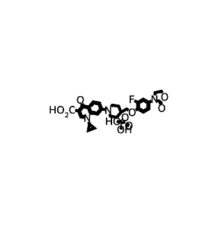 O=C(O)c1cn(C2CC2)c2cc(N3CCC(COc4ccc(N5CCOC5=O)cc4F)(OP(=O)(O)O)CC3)ccc2c1=O